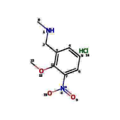 CNCc1cccc([N+](=O)[O-])c1OC.Cl